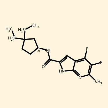 C[SiH2]C1([SiH2]C)CC[C@H](NC(=O)c2cc3c(F)c(F)c(C)nc3[nH]2)C1